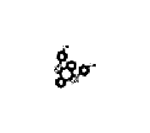 COc1ccc(-n2nnc3c2-c2ccccc2-c2c(nnn2-c2ccc(OC)cc2)-c2ccccc2-3)cc1